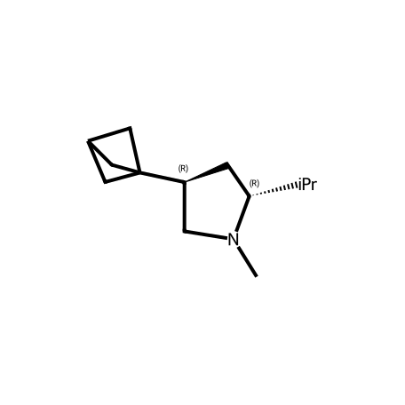 CC(C)[C@H]1C[C@H](C23CC(C2)C3)CN1C